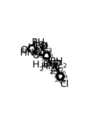 BC1CC(=O)NC(=O)[C@@]1(B)N1Cc2cc(C(B)(B)NC(=O)C(F)(F)c3ccc(Cl)cc3)ccc2C1=O